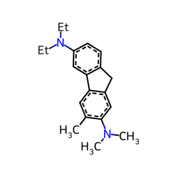 CCN(CC)c1ccc2c(c1)-c1cc(C)c(N(C)C)cc1C2